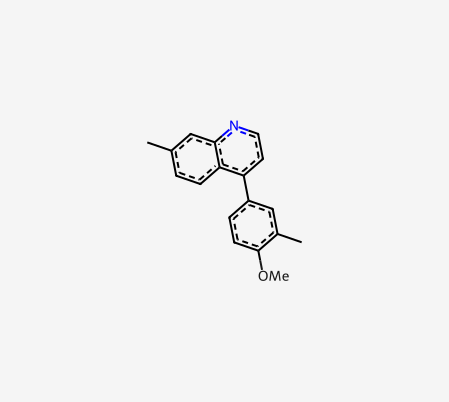 COc1ccc(-c2ccnc3cc(C)ccc23)cc1C